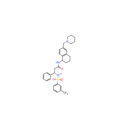 CN(C(CC(=O)NC1CCCc2cc(CN3CCCCC3)ccc21)c1ccccc1)S(=O)(=O)c1cccc(C(F)(F)F)c1